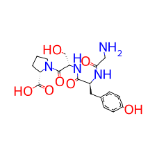 NCC(=O)N[C@@H](Cc1ccc(O)cc1)C(=O)N[C@@H](CO)C(=O)N1CCC[C@H]1C(=O)O